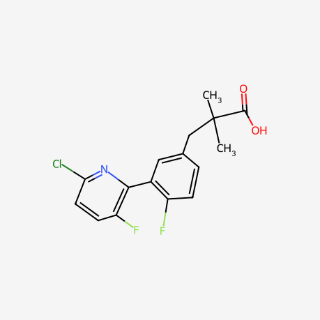 CC(C)(Cc1ccc(F)c(-c2nc(Cl)ccc2F)c1)C(=O)O